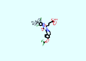 C[Si](C)(C)c1c(F)cc(NC(=O)[C@H]2c3ccc(OC(F)F)cc3CCN2C(=O)CCC(=O)O)cc1F